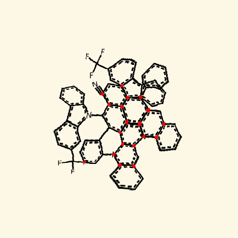 N#Cc1c(-n2c3ccccc3c3ccc(C(F)(F)F)cc32)c(-c2ccccc2N(c2ccccc2)c2ccccc2)c(-c2ccccc2N(c2ccccc2)c2ccccc2)c(-c2ccccc2N(c2ccccc2)c2ccccc2)c1-n1c2ccccc2c2ccc(C(F)(F)F)cc21